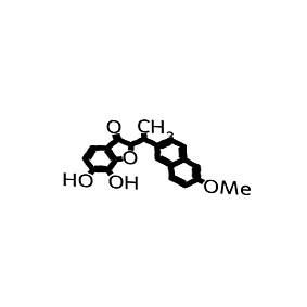 COc1ccc2cc(C(C)C3Oc4c(ccc(O)c4O)C3=O)ccc2c1